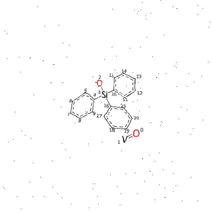 [O]=[V].[O][Si](c1ccccc1)(c1ccccc1)c1ccccc1